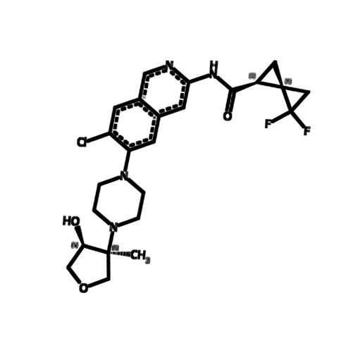 C[C@]1(N2CCN(c3cc4cc(NC(=O)[C@H]5C[C@]56CC6(F)F)ncc4cc3Cl)CC2)COC[C@H]1O